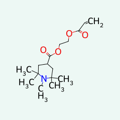 C=CC(=O)OCCOC(=O)C1CC(C)(C)N(C)C(C)(C)C1